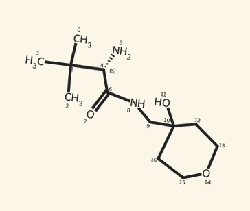 CC(C)(C)[C@H](N)C(=O)NCC1(O)CCOCC1